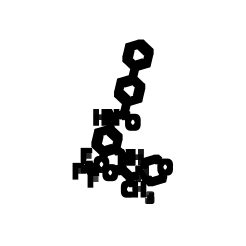 CC(C(=O)Nc1cc(NC(=O)c2ccc(-c3ccccc3)cc2)ccc1OC(F)(F)F)N1CCOCC1